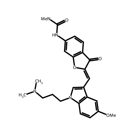 CNC(=O)Nc1ccc2c(c1)OC(=Cc1cn(CCCN(C)C)c3ccc(OC)cc13)C2=O